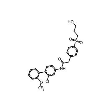 O=C(Cc1ccc(S(=O)(=O)CCCO)cc1)Nc1ccc(-c2ccccc2OC(F)(F)F)c(Cl)c1